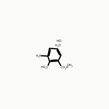 Cl.Nc1cccc(C(=O)O)c1C(=O)O.O.O